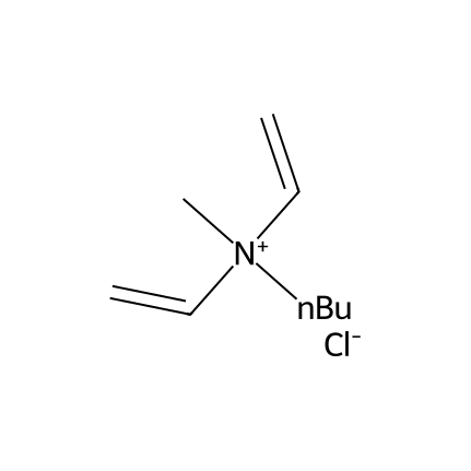 C=C[N+](C)(C=C)CCCC.[Cl-]